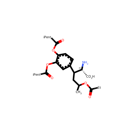 CCCC(C)C(=O)Oc1ccc(C(CC(C)OC(=O)CC)[C@H](N)C(=O)O)cc1OC(=O)C(C)CCC